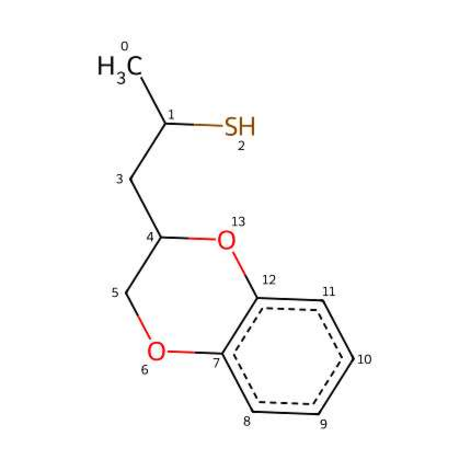 CC(S)CC1COc2ccccc2O1